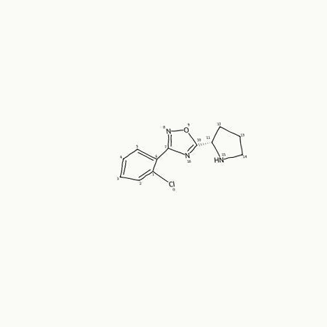 Clc1ccccc1-c1noc([C@@H]2CCCN2)n1